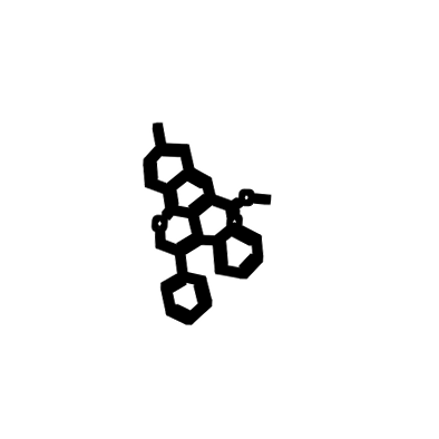 COC(=O)c1cc2cc(C)ccc2c2c1C(c1ccccc1)=C(c1ccccc1)CO2